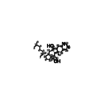 CC(C)CCCC(C)[C@H]1CC[C@H]2[C@H](CO)[C@@H]([C@@]3(C)Cc4cncnc4C[C@@H]3CO)CC[C@]12C